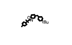 Cc1ccc(C(C)(C)c2nc3cc(Cc4ccc(C(C)(C)C)cc4)ccc3o2)cc1